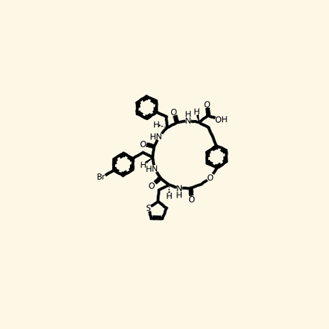 O=C1COc2ccc(cc2)C[C@@H](C(=O)O)NC(=O)[C@H](Cc2ccccc2)NC(=O)[C@@H](Cc2ccc(Br)cc2)NC(=O)[C@H](CC2CC=CS2)N1